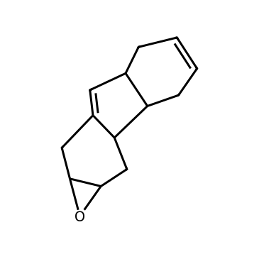 C1=CCC2C(C=C3CC4OC4CC32)C1